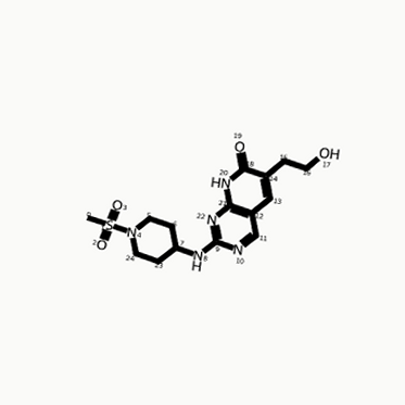 CS(=O)(=O)N1CCC(Nc2ncc3cc(CCO)c(=O)[nH]c3n2)CC1